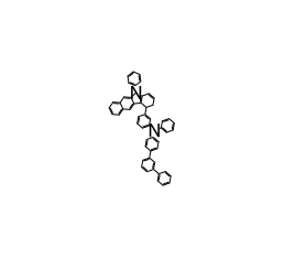 C1=Cc2c(c3cc4ccccc4cc3n2-c2ccccc2)C(c2cccc(N(c3ccccc3)c3ccc(-c4cccc(-c5ccccc5)c4)cc3)c2)C1